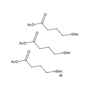 CCCCCCCCCCCCCC(=O)OC(C)=O.CCCCCCCCCCCCCC(=O)OC(C)=O.CCCCCCCCCCCCCC(=O)OC(C)=O.[Al]